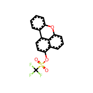 O=S(=O)(Oc1ccc2c3c(cccc13)Oc1ccccc1-2)C(F)(F)F